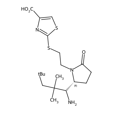 CC(C)(C)CC(C)(C)C(N)[C@H]1CCC(=O)N1CCSc1nc(C(=O)O)cs1